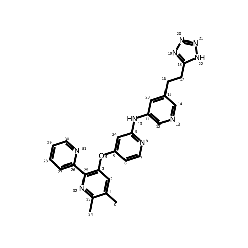 Cc1cc(Oc2ccnc(Nc3cncc(CCc4nnn[nH]4)c3)c2)c(-c2ccccn2)nc1C